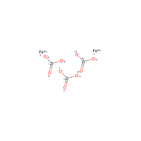 [Fe+3].[Fe+3].[O]=[Zr]([O-])[O-].[O]=[Zr]([O-])[O-].[O]=[Zr]([O-])[O-]